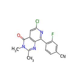 Cc1nc2c(-c3ccc(C#N)cc3F)nc(Cl)cc2c(=O)n1C